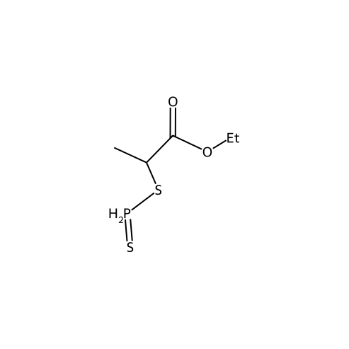 CCOC(=O)C(C)S[PH2]=S